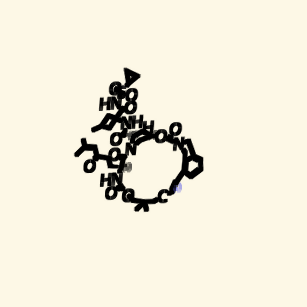 CC(C)=CC(=O)CC[C@@H]1NC(=O)OCC(C)(C)CC/C=C/c2cccc3c2CN(C3)C(=O)O[C@@H]2C[C@@H](C(=O)NC3(C(=O)NS(=O)(=O)C4CC4)CC(C)C3)N(C2)C1=O